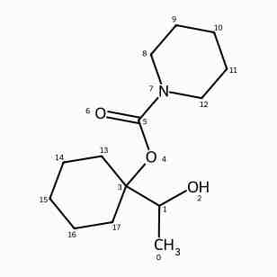 CC(O)C1(OC(=O)N2CCCCC2)CCCCC1